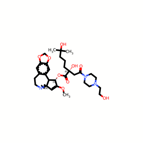 COC1=C[C@]23CCCN2CCc2cc4c(cc2C3[C@@H]1OC(=O)[C@@](O)(CCCC(C)(C)O)CC(=O)N1CCN(CCO)CC1)OCO4